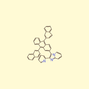 c1ccc(-c2nc3ccccn3c2-c2ccc3c(-c4ccc5ccccc5c4)c4ccccc4c(-c4ccc5ccccc5c4)c3c2)nc1